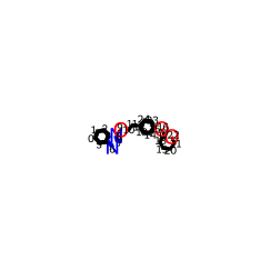 c1ccc2c(c1)ncn2OCCc1ccc(OC2CCCCO2)cc1